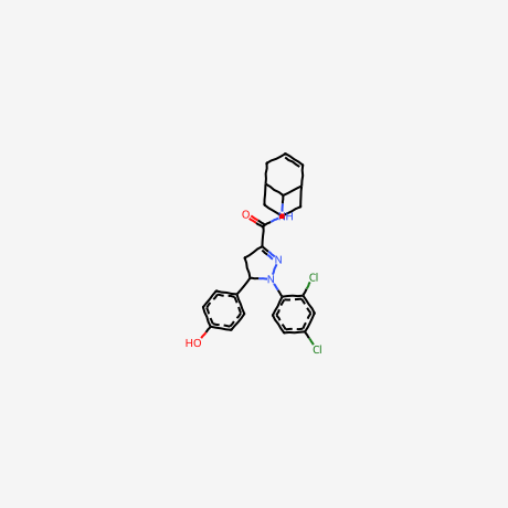 O=C(NC1C2C=CCC1CCC2)C1=NN(c2ccc(Cl)cc2Cl)C(c2ccc(O)cc2)C1